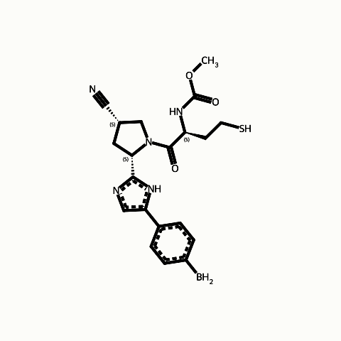 Bc1ccc(-c2cnc([C@@H]3C[C@H](C#N)CN3C(=O)[C@H](CCS)NC(=O)OC)[nH]2)cc1